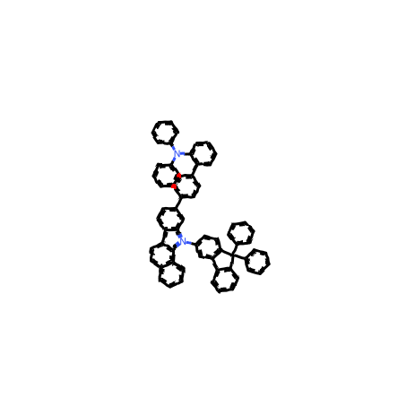 c1ccc(N(c2ccccc2)c2ccccc2-c2ccc(-c3ccc4c5ccc6ccccc6c5n(-c5ccc6c(c5)-c5ccccc5C6(c5ccccc5)c5ccccc5)c4c3)cc2)cc1